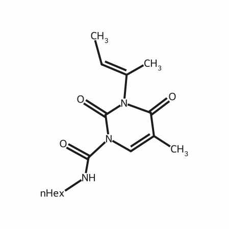 CC=C(C)n1c(=O)c(C)cn(C(=O)NCCCCCC)c1=O